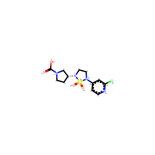 O=C(O)N1CC[C@@H](N2CCN(c3ccnc(Cl)c3)S2(=O)=O)C1